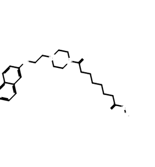 O=C(CCCCCCC(=O)N1CCN(CCOc2ccc3ccccc3c2)CC1)NO